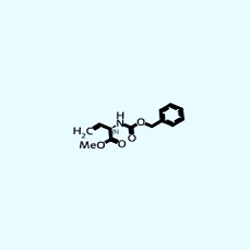 C=C[C@H](NC(=O)OCc1ccccc1)C(=O)OC